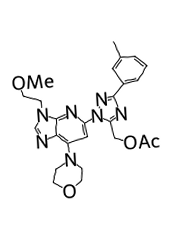 COCCn1cnc2c(N3CCOCC3)cc(-n3nc(-c4cccc(C)c4)nc3COC(C)=O)nc21